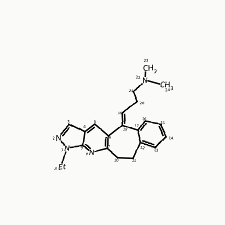 CCn1ncc2cc3c(nc21)CCc1ccccc1C3=CCCN(C)C